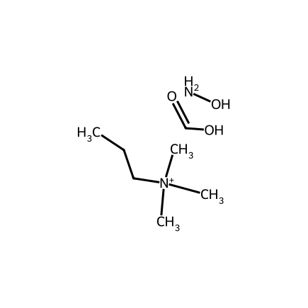 CCC[N+](C)(C)C.NO.O=CO